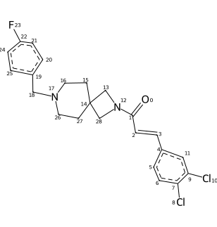 O=C(/C=C/c1ccc(Cl)c(Cl)c1)N1CC2(CCN(Cc3ccc(F)cc3)CC2)C1